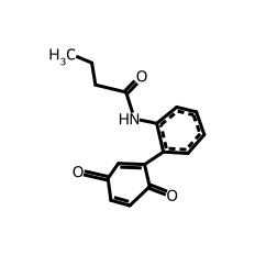 CCCC(=O)Nc1ccccc1C1=CC(=O)C=CC1=O